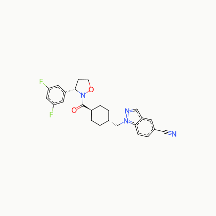 N#Cc1ccc2c(cnn2C[C@H]2CC[C@H](C(=O)N3OCC[C@H]3c3cc(F)cc(F)c3)CC2)c1